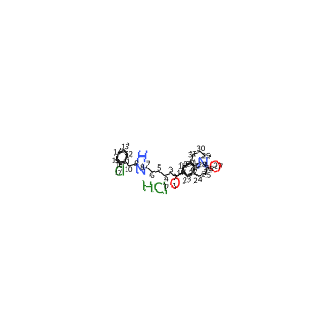 Cl.O=C(CCCCCNCCc1ccccc1Cl)c1cc2c3c(c1)CCC(=O)N3CCC2